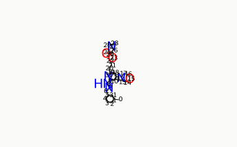 Cc1cccc(C=NNc2cc(N3CCOCC3)cc(CCCOC(=O)CN(C)C)n2)c1